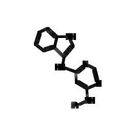 CC(C)Nc1cc(Nc2c[nH]c3ccccc23)ncn1